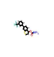 NC(=O)OC1CCSc2cc(-c3cccc(C(F)(F)F)c3)ccc21